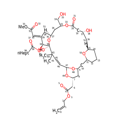 C=CCOC(=O)C[C@H]1CC2CC3CCC[C@@H](C[C@@H](O)CC(=O)OC(CO)C[C@@H]4C/C(=C\C(=O)OC)[C@H](OC(=O)CCCCCCC)[C@@](O)(O4)C(C)(C)/C=C/C(O2)O1)O3